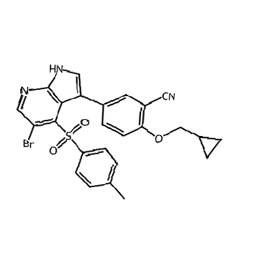 Cc1ccc(S(=O)(=O)c2c(Br)cnc3[nH]cc(-c4ccc(OCC5CC5)c(C#N)c4)c23)cc1